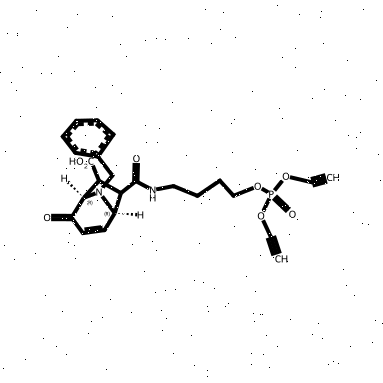 C#COP(=O)(OC#C)OCCCCNC(=O)C1C(C(=O)O)[C@@H]2C(=O)C=C[C@H]1N2Cc1ccccc1